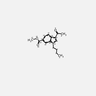 CCCCn1cc(C(C)=O)c2ccc(C(=O)OC)cc21